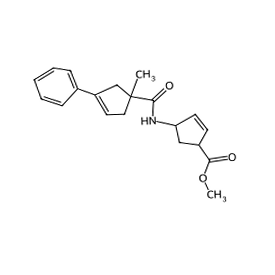 COC(=O)C1C=CC(NC(=O)C2(C)CC=C(c3ccccc3)C2)C1